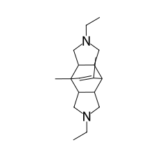 CCN1CC2C3C(C)=CC(C)(C2C1)C1CN(CC)CC31